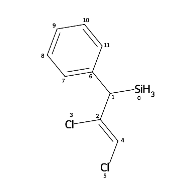 [SiH3]C(C(Cl)=CCl)c1ccccc1